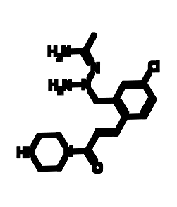 C/C(N)=N/N(N)Cc1cc(Cl)ccc1/C=C/C(=O)N1CCNCC1